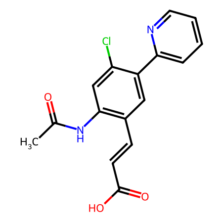 CC(=O)Nc1cc(Cl)c(-c2ccccn2)cc1C=CC(=O)O